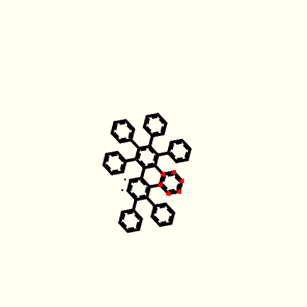 [c]1[c]c(-c2c(-c3ccccc3)c(-c3ccccc3)c(-c3ccccc3)c(-c3ccccc3)c2-c2ccccc2)c(-c2ccccc2)c(-c2ccccc2)c1-c1ccccc1